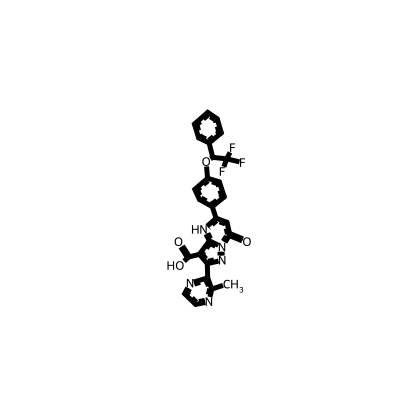 Cc1nccnc1-c1nn2c(=O)cc(-c3ccc(OC(c4ccccc4)C(F)(F)F)cc3)[nH]c2c1C(=O)O